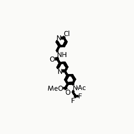 COC(=O)c1cc(-c2ccc(C(=O)NCc3ccc(Cl)nc3)cn2)ccc1N(CC(F)F)C(C)=O